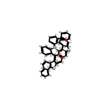 c1ccc(-c2cccc(N(c3ccccc3-c3cccc4oc5c6ccccc6ccc5c34)c3cccc4oc5ccccc5c34)c2)cc1